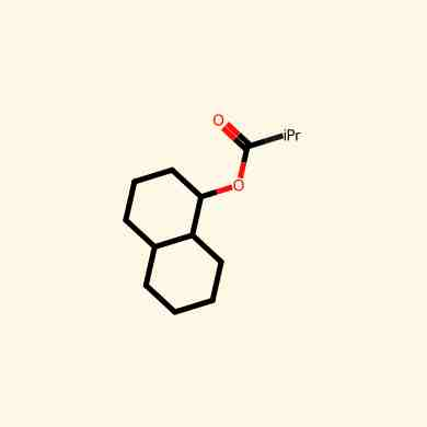 CC(C)C(=O)OC1CCCC2CCCCC21